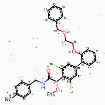 CCO[C@H](C(=O)NCc1ccc(C#N)cc1)c1c(F)cc(-c2ccccc2OCCOCc2ccccc2)cc1F